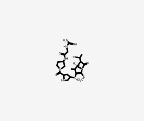 CC(O)C1C(=O)N2C(OC(=O)O)=C(SC3CNC(C(=O)N4CCC(NC(=O)CNC(=N)N)C4)C3)C(C)[C@@H]12